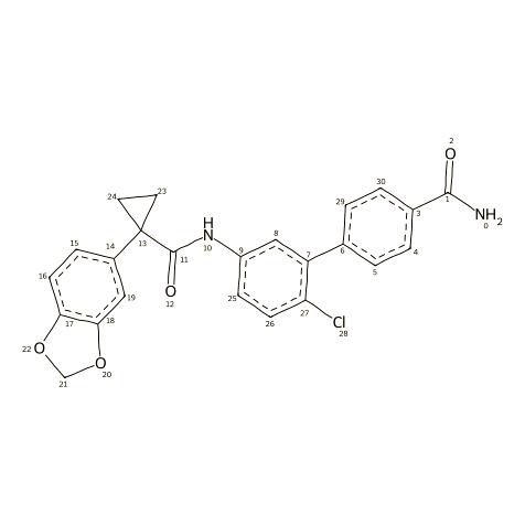 NC(=O)c1ccc(-c2cc(NC(=O)C3(c4ccc5c(c4)OCO5)CC3)ccc2Cl)cc1